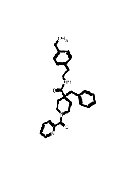 CCc1ccc(CCNC(=O)C2(Cc3ccccc3)CCN(C(=O)c3ccccn3)CC2)cc1